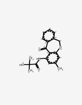 Cc1cc(NC(=O)C(C)(O)C(F)(F)F)c2c(c1)OCc1ccccc1C2=O